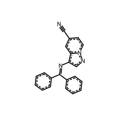 N#Cc1ccn2ncc(N=C(c3ccccc3)c3ccccc3)c2c1